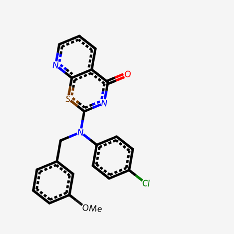 COc1cccc(CN(c2ccc(Cl)cc2)c2nc(=O)c3cccnc3s2)c1